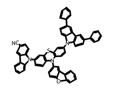 N#Cc1ccc2c(c1)c1ccccc1n2-c1ccc2c(c1)Sc1cc(-n3c4ccc(-c5ccccc5)cc4c4cc(-c5ccccc5)ccc43)ccc1N2c1ccc2oc3ccccc3c2c1